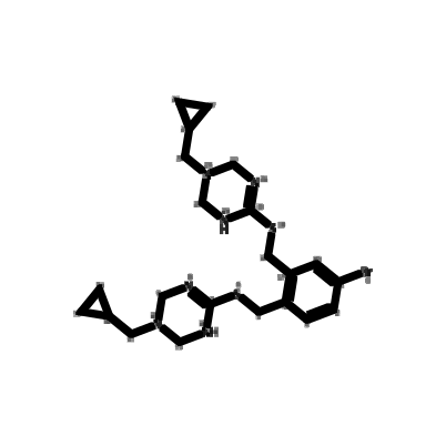 Brc1ccc(CSC2=NCN(CC3CC3)CN2)c(CSC2=NCN(CC3CC3)CN2)c1